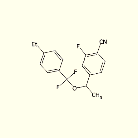 CCc1ccc(C(F)(F)OC(C)c2ccc(C#N)c(F)c2)cc1